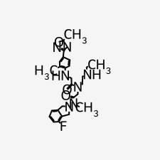 CCNCCN(CC(=O)N(C)N1Cc2cccc(F)c2C1)C(=O)CNc1ccc(-c2noc(C)n2)cc1C